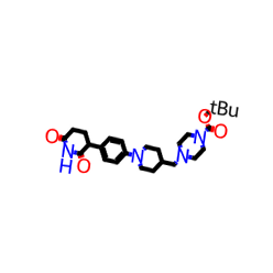 CC(C)(C)OC(=O)N1CCN(CC2CCN(c3ccc(C4CCC(=O)NC4=O)cc3)CC2)CC1